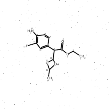 CCOC(=O)C(c1ccc(N)c(F)c1)C1OC(C)O1